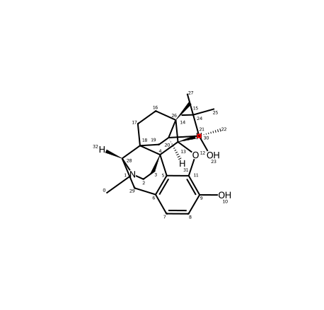 CN1CC[C@]23c4c5ccc(O)c4O[C@H]2[C@@]2(C)CCC3(C[C@@H]2[C@](C)(O)C(C)(C)C)[C@H]1C5